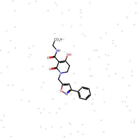 O=C(O)CNC(=O)C1=C(O)CCN(Cc2cc(-c3ccccc3)no2)C1=O